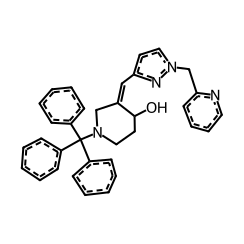 OC1CCN(C(c2ccccc2)(c2ccccc2)c2ccccc2)CC1=Cc1ccn(Cc2ccccn2)n1